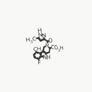 Cc1cc(C(=O)N2Cc3c([nH]c4c(F)ccc(C)c34)CC2C(=O)O)n[nH]1